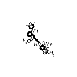 COc1cc(S(N)(=O)=O)ccc1NCC#Cc1cc2c(N[C@@H]3C[C@@H](C)O[C@@H](C)C3)cccc2n1CC(F)(F)F